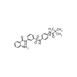 CC(C)(C)C(=O)Nc1ccc(NS(=O)(=O)c2cccc(NC(=O)c3ccccc3N)c2)cc1